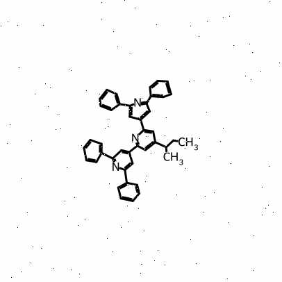 CCC(C)c1cc(-c2cc(-c3ccccc3)nc(-c3ccccc3)c2)nc(-c2cc(-c3ccccc3)nc(-c3ccccc3)c2)c1